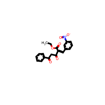 CCOC(=O)C(=Cc1cccc([N+](=O)[O-])c1)C(=O)CC(=O)c1ccccc1